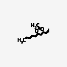 CCCCCC(CCCI)OC(C)=O